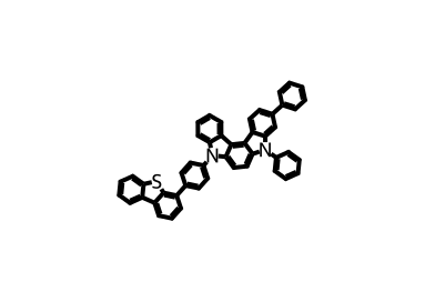 c1ccc(-c2ccc3c4c5c6ccccc6n(-c6ccc(-c7cccc8c7sc7ccccc78)cc6)c5ccc4n(-c4ccccc4)c3c2)cc1